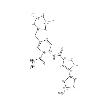 CCCNC(=O)c1cc(CN2C[C@@H](C)O[C@@H](C)C2)ccc1NC(=O)c1csc(N2CC[C@H](OC)C2)n1